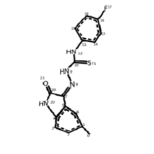 Cc1ccc2c(c1)/C(=N/NC(=S)Nc1ccc(F)cc1)C(=O)N2